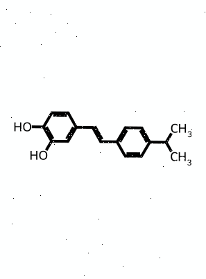 CC(C)c1ccc(C=Cc2ccc(O)c(O)c2)cc1